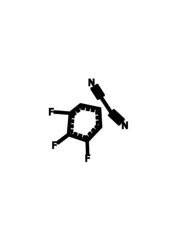 Fc1cccc(F)c1F.N#CC#N